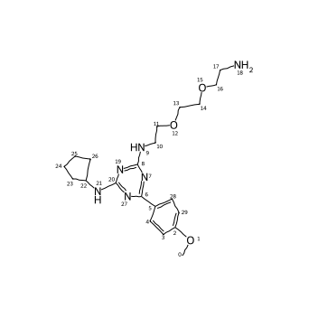 COc1ccc(-c2nc(NCCOCCOCCN)nc(NC3CCCC3)n2)cc1